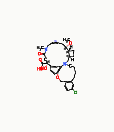 CO[C@H]1C/C=C\CN(C)C(=O)C[C@](O)(C(=O)O)c2ccc3c(c2)N(CCCCc2cc(Cl)ccc2CO3)C[C@@H]2CC[C@H]21